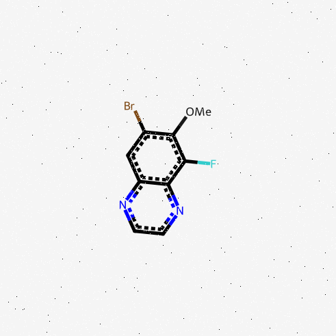 COc1c(Br)cc2nccnc2c1F